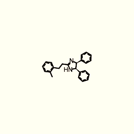 Cc1ccccc1CCC1=N[C@@H](c2ccccc2)[C@@H](c2ccccc2)N1